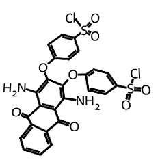 Nc1c(Oc2ccc(S(=O)(=O)Cl)cc2)c(Oc2ccc(S(=O)(=O)Cl)cc2)c(N)c2c1C(=O)c1ccccc1C2=O